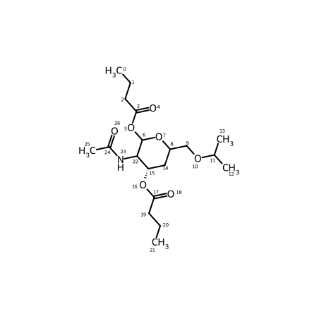 CCCC(=O)OC1OC(COC(C)C)C[C@H](OC(=O)CCC)C1NC(C)=O